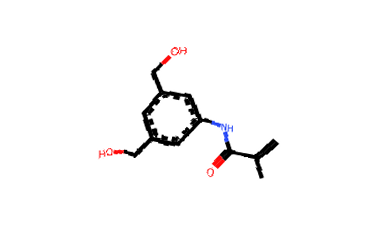 C=C(C)C(=O)Nc1cc(CO)cc(CO)c1